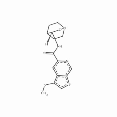 CSc1csc2cnc(C(=O)N[C@H]3CN4CCC3CC4)cc12